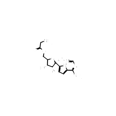 C[C@H](N)C(=O)OCC1O[C@@](C#N)(c2ccc3c(N)ncnn23)[C@H](O)[C@@H]1O